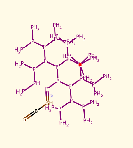 PPP(P)P(P(P(P)P)P(P)P)P(P(/P=[SH]/B=S)P(P(P(P)P)P(P)P)P(P(P)P)P(P)P)P(P(P)P)P(P)P